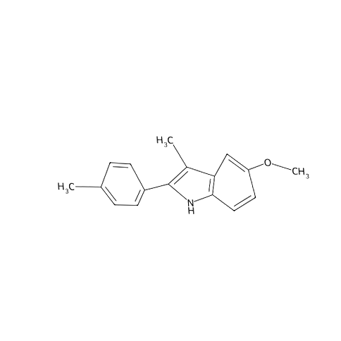 COc1ccc2[nH]c(-c3ccc(C)cc3)c(C)c2c1